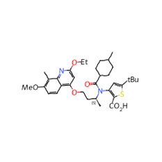 CCOc1cc(OCC[C@H](C)N(C(=O)C2CCC(C)CC2)c2cc(C(C)(C)C)sc2C(=O)O)c2ccc(OC)c(C)c2n1